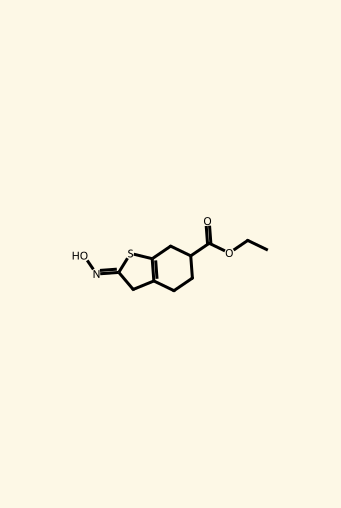 CCOC(=O)C1CCC2=C(C1)S/C(=N\O)C2